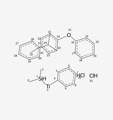 C[SiH](C)[Ti][c]1ccccc1.Cc1cc2c(Oc3ccccc3)c(c1)C2c1ccccc1.Cl.Cl